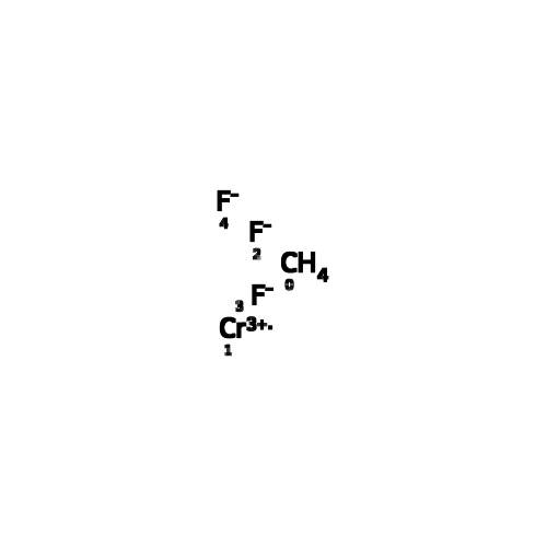 C.[Cr+3].[F-].[F-].[F-]